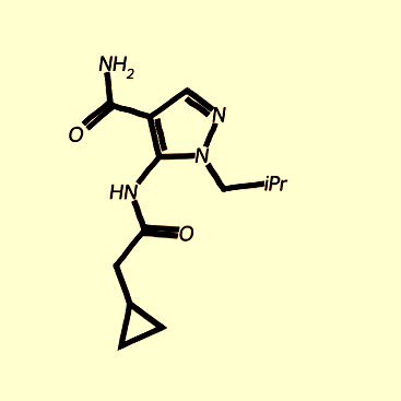 CC(C)Cn1ncc(C(N)=O)c1NC(=O)CC1CC1